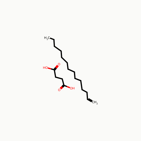 C=CCCCCCCCCCCCC.O=C(O)CCC(=O)O